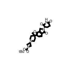 CC(C)(C)OC(=O)N1CC(N2CCC3(CC2)COc2c3ccc3c2CN([C@@H]2CCC(=O)NC2=O)C3=O)C1